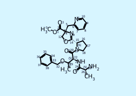 COC(=O)[C@@]1(Cc2ccccn2)COC([C@@H]2CCCN2C(=O)[C@@H](NC(=O)[C@H](C)N)[C@@H](C)OCc2ccccc2)=N1